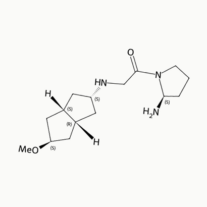 CO[C@@H]1C[C@H]2C[C@@H](NCC(=O)N3CCC[C@H]3N)C[C@H]2C1